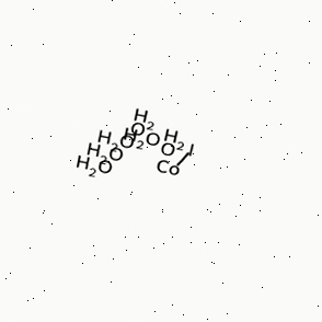 O.O.O.O.O.O.[Co][I]